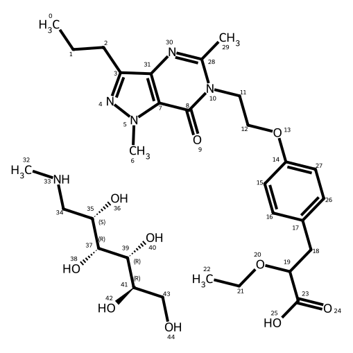 CCCc1nn(C)c2c(=O)n(CCOc3ccc(CC(OCC)C(=O)O)cc3)c(C)nc12.CNC[C@H](O)[C@@H](O)[C@H](O)[C@H](O)CO